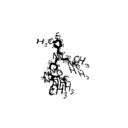 CNC(=O)c1c(NC)ncnc1N1CCC(c2nc(-c3ccc(F)c(C)c3)cn2CCNC(C)C)CC1